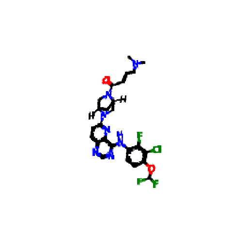 CN(C)C/C=C/C(=O)N1C[C@@H]2C[C@H]1CN2c1ccc2ncnc(Nc3ccc(OC(F)F)c(Cl)c3F)c2n1